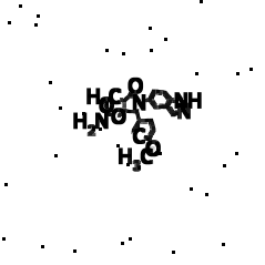 COc1ccc(C2C(OC(N)=O)C(C)C(=O)N2c2ccc3[nH]ncc3c2)cc1